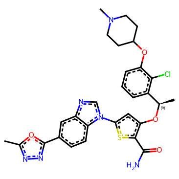 Cc1nnc(-c2ccc3c(c2)ncn3-c2cc(O[C@H](C)c3cccc(OC4CCN(C)CC4)c3Cl)c(C(N)=O)s2)o1